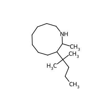 CCCC(C)(C)C1CCCCCCCNC1C